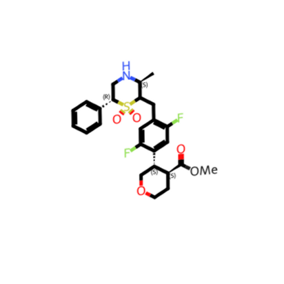 COC(=O)[C@H]1CCOC[C@@H]1c1cc(F)c(CC2[C@H](C)NC[C@@H](c3ccccc3)S2(=O)=O)cc1F